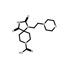 O=C(O)N1CCC2(CC1)C(=O)NC(=O)N2CCN1CCOCC1